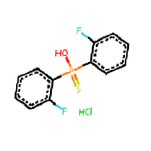 Cl.OP(=S)(c1ccccc1F)c1ccccc1F